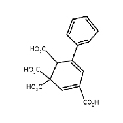 O=C(O)C1=CC(C(=O)O)(C(=O)O)C(C(=O)O)C(c2ccccc2)=C1